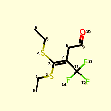 CCSC(SCC)=C(CC=O)C(F)(F)F